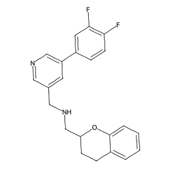 Fc1ccc(-c2cncc(CNCC3CCc4ccccc4O3)c2)cc1F